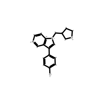 Clc1ccc(-c2cn(CC3CCOC3)c3ccncc23)cc1